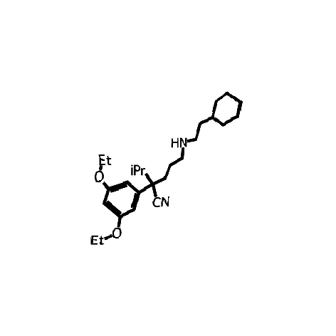 CCOc1cc(OCC)cc(C(C#N)(CCCNCCC2CCCCC2)C(C)C)c1